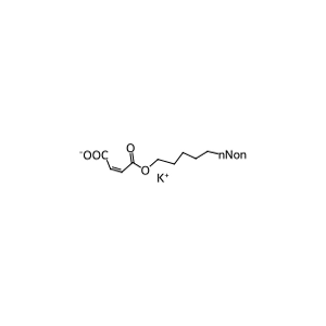 CCCCCCCCCCCCCCOC(=O)/C=C\C(=O)[O-].[K+]